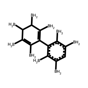 BC1=C(B)C(B)C(B)C(B)=C1c1c(B)c(B)cc(B)c1B